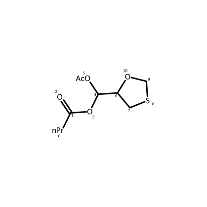 CCCC(=O)OC(OC(C)=O)C1CSCO1